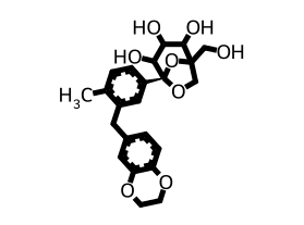 Cc1ccc([C@]23OCC(CO)(O2)C(O)C(O)C3O)cc1Cc1ccc2c(c1)OCCO2